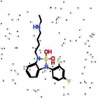 CCNCCCCN1c2ccccc2N(c2ccc(F)cc2F)S1(O)O